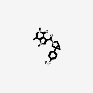 Cc1cn(C)c(=O)c2c(C(=O)N3CC4CC4(c4ccc(C(F)(F)F)cc4)C3)cn(C)c12